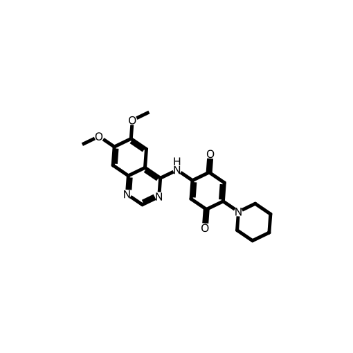 COc1cc2ncnc(NC3=CC(=O)C(N4CCCCC4)=CC3=O)c2cc1OC